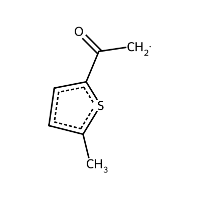 [CH2]C(=O)c1ccc(C)s1